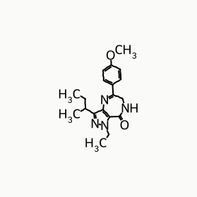 CCC(C)c1nn(CC)c2c1N=C(c1ccc(OC)cc1)CNC2=O